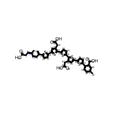 C=C(/C=C\C(C)=C/CC(=O)O)c1ccc(-c2cc(CC(=O)O)c(-c3ccc(-c4sc(-c5ccc(-c6ccc(C)cc6C(=O)O)s5)cc4CC(=O)O)s3)s2)s1